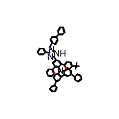 CC(C)(C)c1ccc(-c2cc(C(=N)/N=C(\N=C\c3ccc(-c4ccccc4)cc3)c3ccccc3)cc(-c3ccccc3)c2-n2c3ccc(-c4ccccc4)cc3c3cc(-c4ccccc4)ccc32)cc1